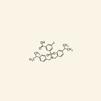 CC(C)c1ccc(CN(Cc2ccc(C(C)C)cc2)S(=O)(=O)c2cc(I)cc(C(=O)O)c2)cc1